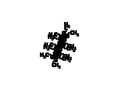 CCO[Si](OCC)(OCC)O[Si](OCC)(OCC)O[Si](OCC)(OCC)O[Si](OCC)(OCC)O[Si](OCC)(OCC)OCC